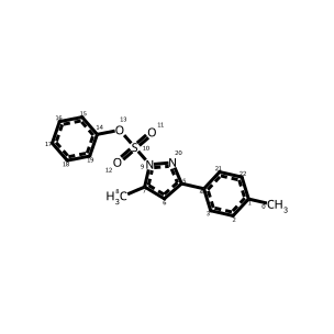 Cc1ccc(-c2cc(C)n(S(=O)(=O)Oc3ccccc3)n2)cc1